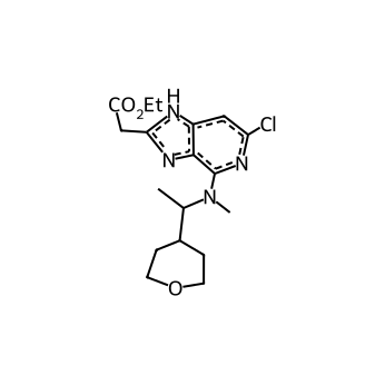 CCOC(=O)Cc1nc2c(N(C)C(C)C3CCOCC3)nc(Cl)cc2[nH]1